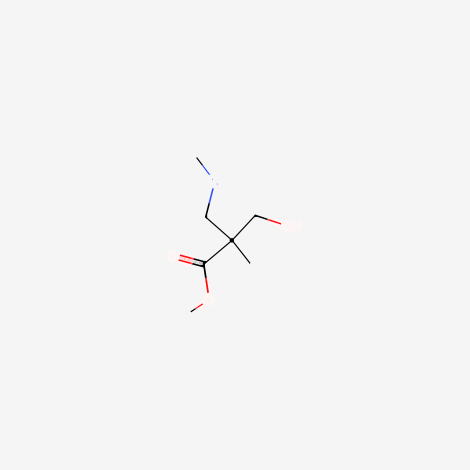 CNCC(C)(CO)C(=O)OC